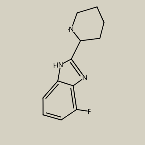 Fc1cccc2[nH]c(C3CCCC[N]3)nc12